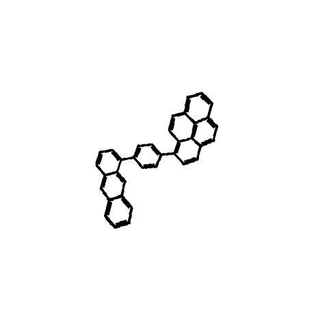 c1ccc2cc3c(-c4ccc(-c5ccc6ccc7cccc8ccc5c6c78)cc4)cccc3cc2c1